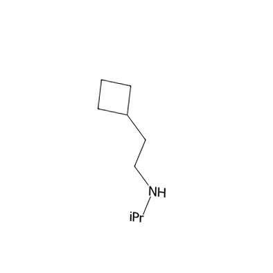 CC(C)NCCC1CCC1